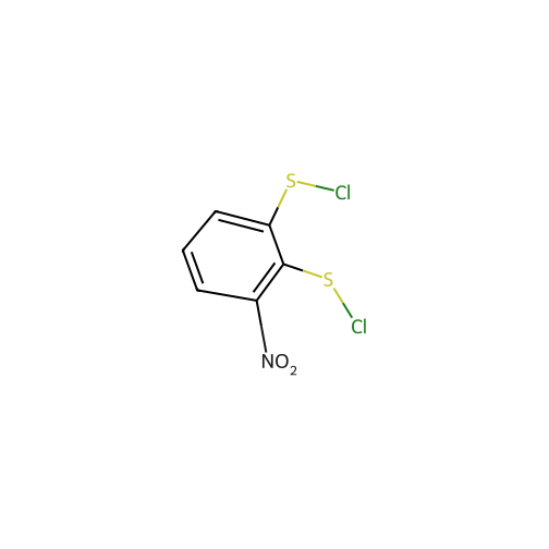 O=[N+]([O-])c1cccc(SCl)c1SCl